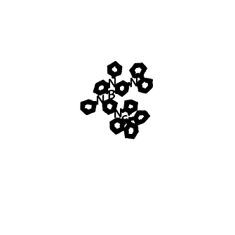 c1ccc(N2c3ccc(N4c5ccccc5[Si](c5ccccc5)(c5ccccc5)c5ccccc54)cc3B3c4ccc(-n5c6ccccc6c6ccccc65)cc4N(c4ccccc4)c4cccc2c43)cc1